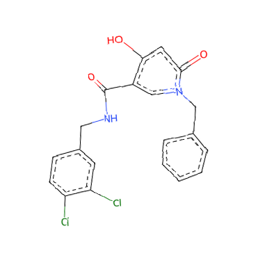 O=C(NCc1ccc(Cl)c(Cl)c1)c1cn(Cc2ccccc2)c(=O)cc1O